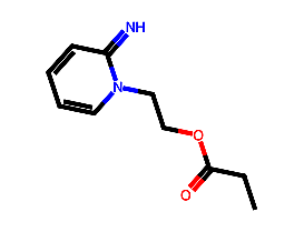 CCC(=O)OCCn1ccccc1=N